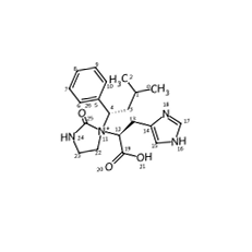 CC(C)C[C@@H](c1ccccc1)[N+]1([C@@H](Cc2c[nH]cn2)C(=O)O)CCNC1=O